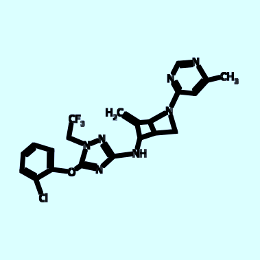 C=C1C(Nc2nc(Oc3ccccc3Cl)n(CC(F)(F)F)n2)C2CN(c3cc(C)ncn3)C12